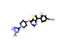 CSc1ccc(-c2csc3c(OC4CCN(C5=NN(C(C)C)NN5)CC4)ncnc23)c(F)c1